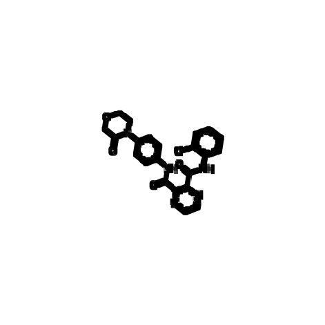 O=C(Nc1ccc(N2CCOCC2=O)cc1)c1nccnc1C(=O)Nc1ccccc1Cl